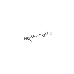 C[SiH](C)OCCOC=O